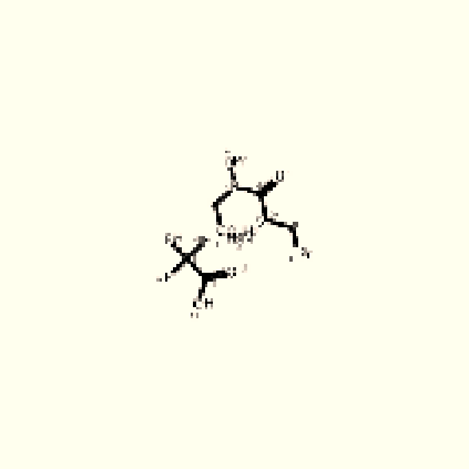 CCCN(CC(=O)O)C(=O)[C@@H](N)CC(C)C.O=C(O)C(F)(F)F